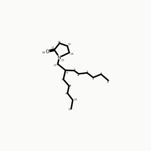 CCCCCCC(CCCCC)CN1CCCC1=O